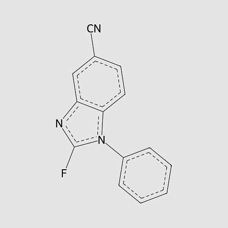 N#Cc1ccc2c(c1)nc(F)n2-c1ccccc1